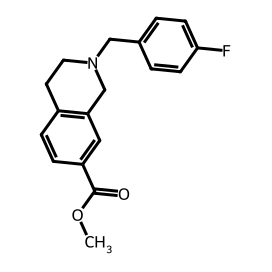 COC(=O)c1ccc2c(c1)CN(Cc1ccc(F)cc1)CC2